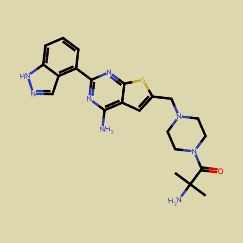 CC(C)(N)C(=O)N1CCN(Cc2cc3c(N)nc(-c4cccc5[nH]ncc45)nc3s2)CC1